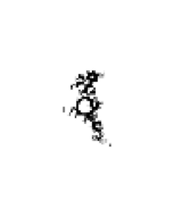 C[C@@H]1CCC[C@H](n2cnc(-c3cc(Cl)ccc3-n3cc(Cl)nn3)cc2=O)c2cc(ccn2)-c2nn(-c3ccc(OC(=O)C(F)(F)F)nc3)cc2NC1=O